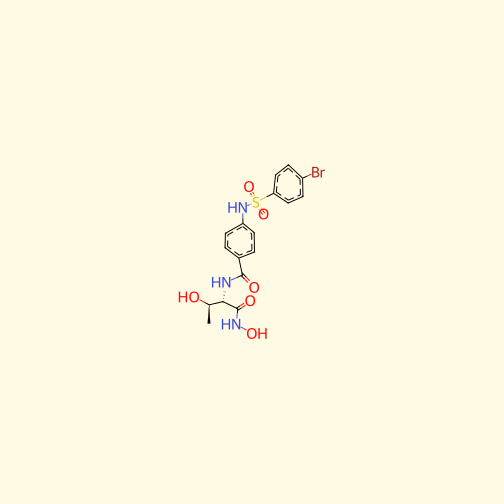 C[C@@H](O)[C@H](NC(=O)c1ccc(NS(=O)(=O)c2ccc(Br)cc2)cc1)C(=O)NO